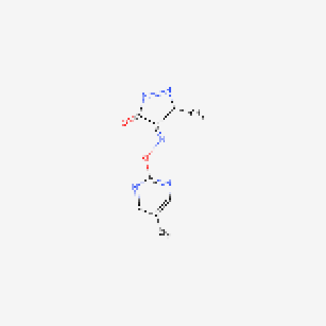 CC1N=NC(=O)C1=NOc1ncc(C(F)(F)F)cn1